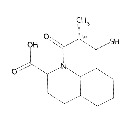 C[C@H](CS)C(=O)N1C(C(=O)O)CCC2CCCCC21